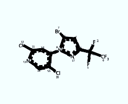 FC(F)(F)C(F)(F)c1cc(Br)n(-c2cc(Cl)n[c]c2Cl)n1